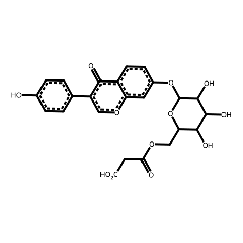 O=C(O)CC(=O)OCC1OC(Oc2ccc3c(=O)c(-c4ccc(O)cc4)coc3c2)C(O)C(O)C1O